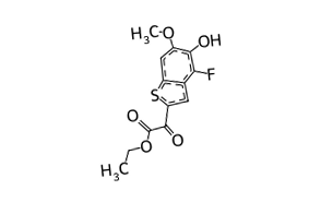 CCOC(=O)C(=O)c1cc2c(F)c(O)c(OC)cc2s1